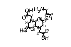 C=CCN.O=C(O)CN(CCN(CC(=O)O)CC(=O)O)CC(=O)O